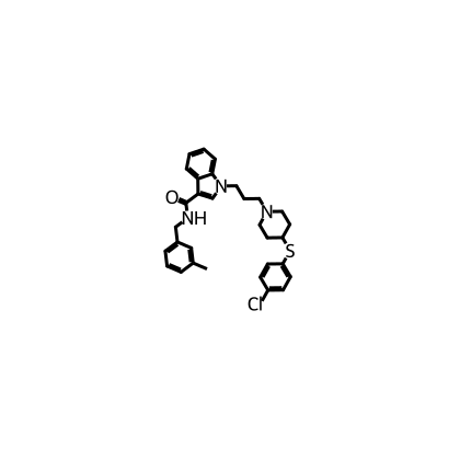 Cc1cccc(CNC(=O)c2cn(CCCN3CCC(Sc4ccc(Cl)cc4)CC3)c3ccccc23)c1